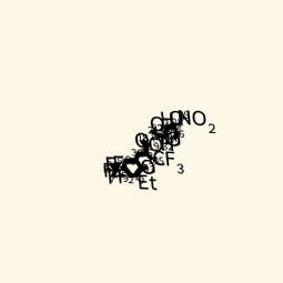 CCc1cc(S(F)(F)(F)(F)F)cc2c1OC(C(F)(F)F)C(C(=O)O[C@H]1CO[C@H]3[C@@H]1OC[C@H]3O[N+](=O)[O-])=C2